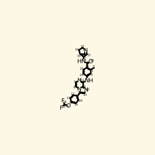 Cc1cc(Nc2nccn3c(-c4ccc(OC(F)F)cc4)cnc23)ccc1C(=O)NC1CN2CCC1C2